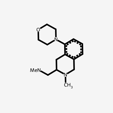 CNCC1Cc2c(cccc2N2CCOCC2)CN1C